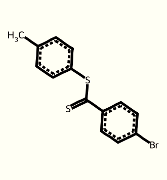 Cc1ccc(SC(=S)c2ccc(Br)cc2)cc1